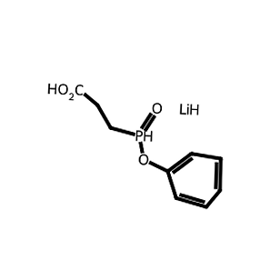 O=C(O)CC[PH](=O)Oc1ccccc1.[LiH]